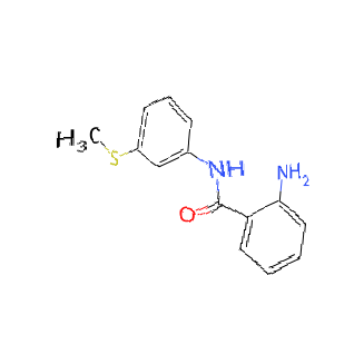 CSc1cccc(NC(=O)c2ccccc2N)c1